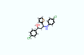 OC(CC(Nc1ccc(Cl)cc1)c1cccs1)c1ccc(Cl)cc1